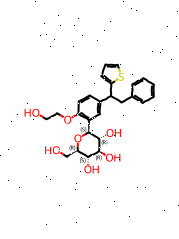 OCCOc1ccc(C(Cc2ccccc2)c2cccs2)cc1[C@@H]1O[C@H](CO)[C@@H](O)[C@H](O)[C@H]1O